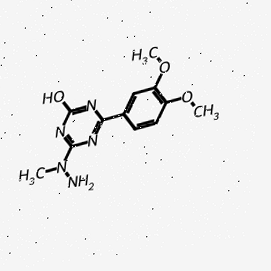 COc1ccc(-c2nc(O)nc(N(C)N)n2)cc1OC